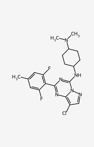 Cc1cc(F)c(-c2nc(NC3CCC(N(C)C)CC3)n3ncc(Cl)c3n2)c(F)c1